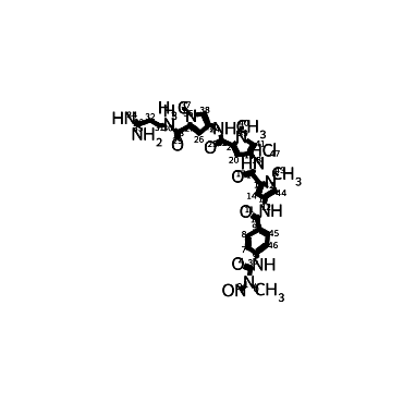 CN(N=O)C(=O)Nc1ccc(C(=O)Nc2cc(C(=O)Nc3cc(C(=O)Nc4cc(C(=O)NCCC(=N)N)n(C)c4)n(C)c3)n(C)c2)cc1.Cl